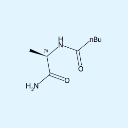 CCCCC(=O)N[C@H](C)C(N)=O